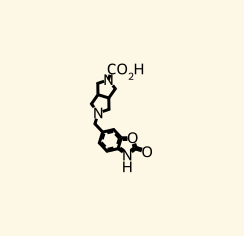 O=C(O)N1CC2CN(Cc3ccc4[nH]c(=O)oc4c3)CC2C1